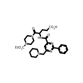 CCOC(=O)N1CCN(C(=O)C(CCC(=O)O)NC(=O)c2cc(CN3CCCCC3)nc(-c3ccccc3)n2)CC1